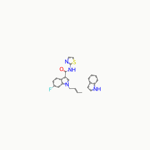 CC=CCn1cc(C(=O)Nc2nccs2)c2ccc(F)cc21.c1ccc2[nH]ccc2c1